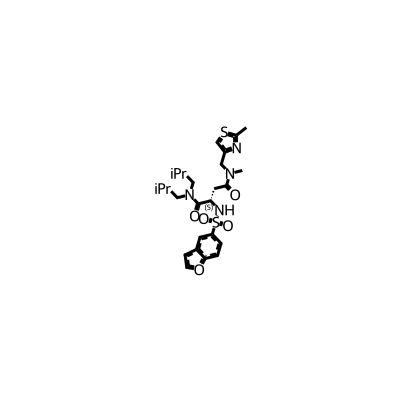 Cc1nc(CN(C)C(=O)C[C@H](NS(=O)(=O)c2ccc3occc3c2)C(=O)N(CC(C)C)CC(C)C)cs1